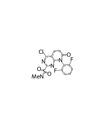 CNS(=O)(=O)c1nc(Cl)c2ccc(=O)n(-c3c(F)cccc3F)c2n1